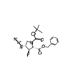 CC(C)(C)OC(=O)N1C[C@@H](N=[N+]=[N-])[C@H](F)[C@H]1C(=O)OCc1ccccc1